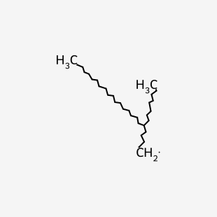 [CH2]CCCCC(CCCCCCCC)CCCCCCCCCCCCCCCCCC